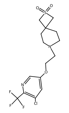 O=S1(=O)CC2(CCN(CCOc3cnc(C(F)(F)F)c(Cl)c3)CC2)C1